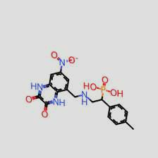 Cc1ccc(C(CNCc2cc([N+](=O)[O-])cc3[nH]c(=O)c(=O)[nH]c23)P(=O)(O)O)cc1